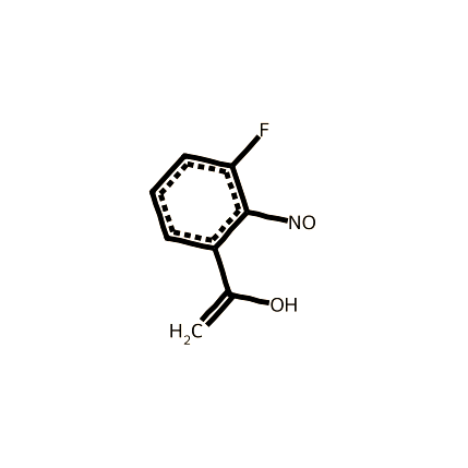 C=C(O)c1cccc(F)c1N=O